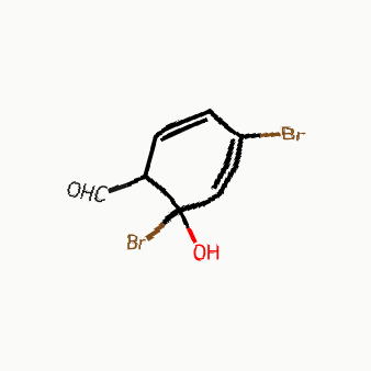 O=CC1C=CC(Br)=CC1(O)Br